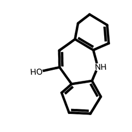 OC1=CC2=C(C=CCC2)Nc2ccccc21